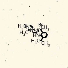 Cc1n(CC(=O)Nc2c(C(C)C)cccc2C(C)C)cc[n+]1C.[Br-]